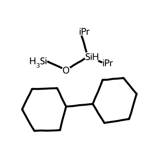 C1CCC(C2CCCCC2)CC1.CC(C)[SiH](O[SiH3])C(C)C